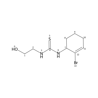 OCCNC(=S)NC1CCCC=C1Br